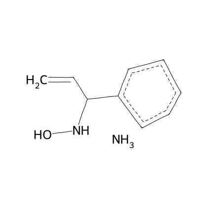 C=CC(NO)c1ccccc1.N